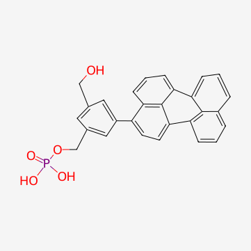 O=P(O)(O)OCc1cc(CO)cc(-c2ccc3c4cccc5cccc(c6cccc2c63)c54)c1